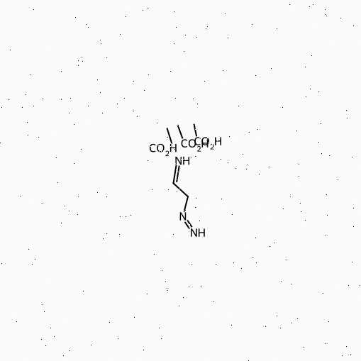 CC(=O)O.CC(=O)O.CC(=O)O.N=CCN=N